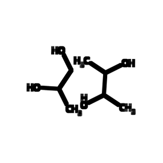 CC(O)C(C)O.CC(O)CO